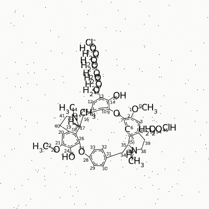 COc1cc2c3cc1Oc1cc(ccc1O)C[C@@H]1c4c(cc(OC)c(O)c4Oc4ccc(cc4)C[C@@H]3N(C)CC2)CC[N+]1(C)C.Cl.O.O.O.O.O.O.O.O.O.O.[Cl-]